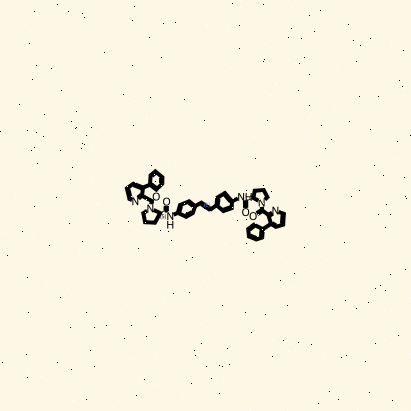 O=C(Nc1ccc(/C=C/c2ccc(NC(=O)[C@@H]3CCCN3C(=O)c3ncccc3-c3ccccc3)cc2)cc1)[C@@H]1CCCN1C(=O)c1ncccc1-c1ccccc1